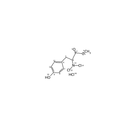 COC(=O)C(Cc1ccc(O)cc1)N(Cl)Cl.Cl